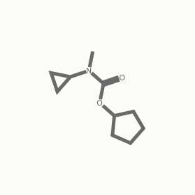 CN(C(=O)OC1CCCC1)C1CC1